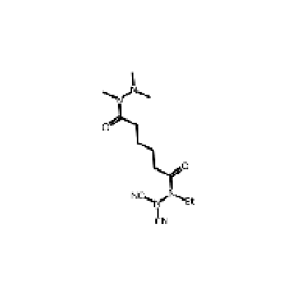 CCN(C(=O)CCCCC(=O)N(C)N(C)C)N(C#N)C#N